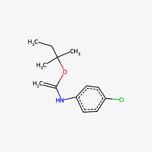 C=C(Nc1ccc(Cl)cc1)OC(C)(C)CC